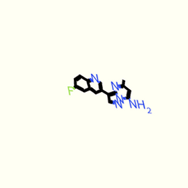 Cc1cc(N)n2ncc(-c3cnc4ccc(F)cc4c3)c2n1